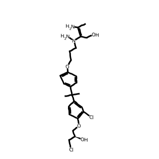 C/C(N)=C(\CO)N(N)CCCOc1ccc(C(C)(C)c2ccc(OC[C@@H](O)CCl)c(Cl)c2)cc1